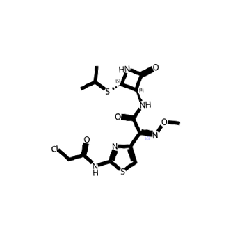 CO/N=C(\C(=O)N[C@@H]1C(=O)N[C@H]1SC(C)C)c1csc(NC(=O)CCl)n1